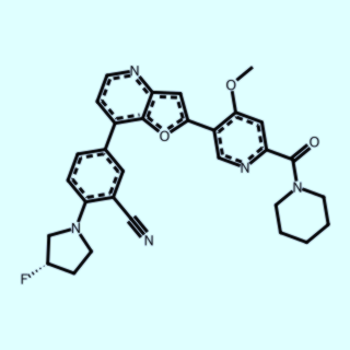 COc1cc(C(=O)N2CCCCC2)ncc1-c1cc2nccc(-c3ccc(N4CC[C@H](F)C4)c(C#N)c3)c2o1